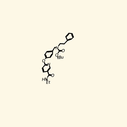 CCNC(=O)c1ccc(Oc2ccc(CN(CCc3ccccc3)C(=O)OC(C)(C)C)cc2)nc1